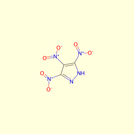 O=[N+]([O-])c1n[nH]c([N+](=O)[O-])c1[N+](=O)[O-]